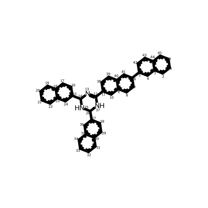 c1ccc2cc(-c3ccc4cc(C5=NC(c6ccc7ccccc7c6)NC(c6ccc7ccccc7c6)N5)ccc4c3)ccc2c1